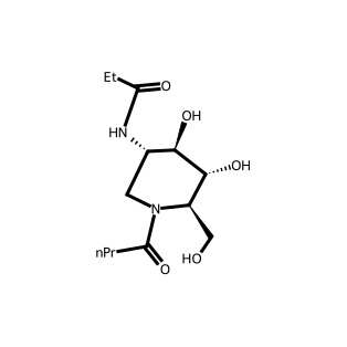 CCCC(=O)N1C[C@H](NC(=O)CC)[C@@H](O)[C@H](O)[C@H]1CO